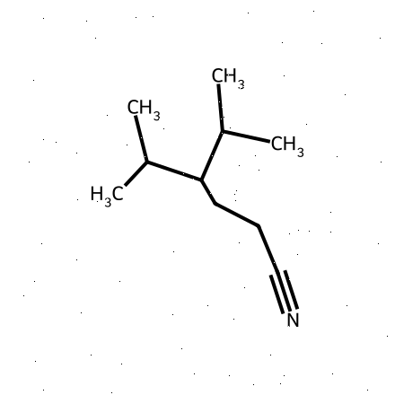 CC(C)C(CCC#N)C(C)C